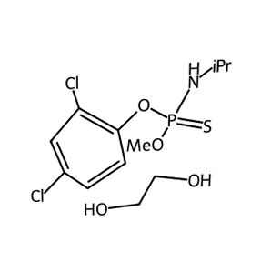 COP(=S)(NC(C)C)Oc1ccc(Cl)cc1Cl.OCCO